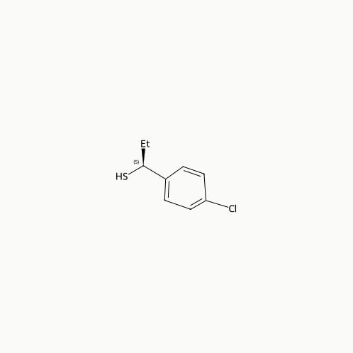 CC[C@H](S)c1ccc(Cl)cc1